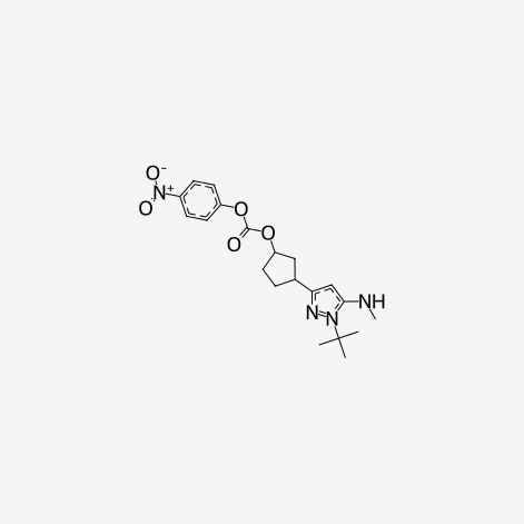 CNc1cc(C2CCC(OC(=O)Oc3ccc([N+](=O)[O-])cc3)C2)nn1C(C)(C)C